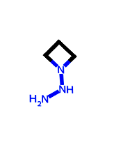 NNN1CCC1